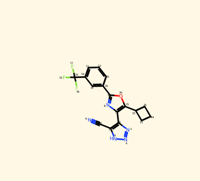 N#Cc1[nH]nnc1-c1nc(-c2cccc(C(F)(F)F)c2)oc1C1CCC1